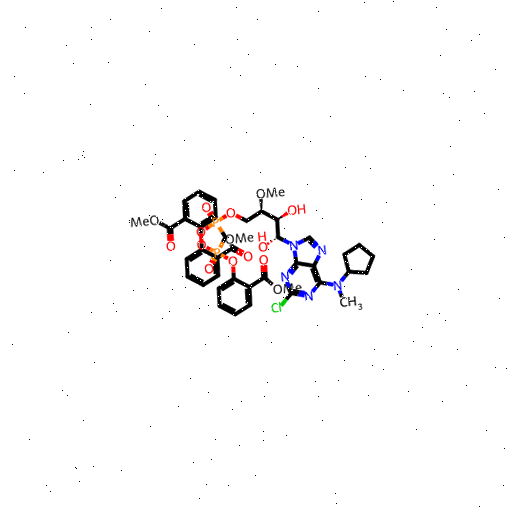 COC(=O)c1ccccc1OP(=O)(CP(=O)(Oc1ccccc1C(=O)OC)Oc1ccccc1C(=O)OC)OC[C@@H](OC)[C@@H](O)[C@@H](O)n1cnc2c(N(C)C3CCCC3)nc(Cl)nc21